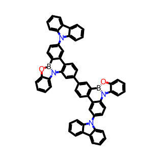 c1ccc2c(c1)OB1c3cc(-c4ccc5c(c4)N4B(Oc6ccccc64)c4ccc(-n6c7ccccc7c7ccccc76)cc4-5)ccc3-c3cc(-n4c5ccccc5c5ccccc54)ccc3N12